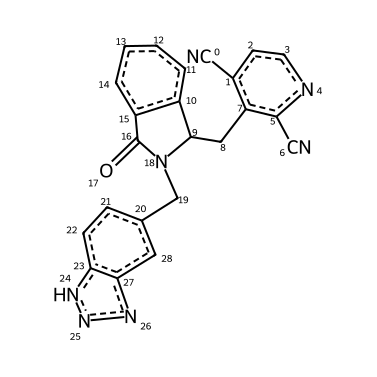 N#Cc1ccnc(C#N)c1CC1c2ccccc2C(=O)N1Cc1ccc2[nH]nnc2c1